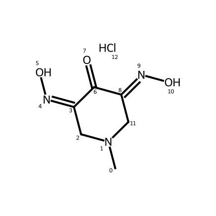 CN1C/C(=N/O)C(=O)/C(=N/O)C1.Cl